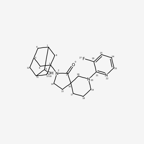 O=C1N(C23CC4CC(C2)C(O)C(C4)C3)CCC12CCCN(c1ncccc1F)C2